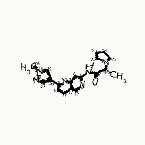 C[C@H](C(=O)Nc1cc2nc(-c3cnn(C)c3)ccc2cn1)N1CCCC1